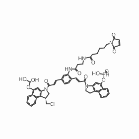 O=C(CCCCCN1C(=O)C=CC1=O)NCCC(=O)Nc1cc(/C=C/C(=O)N2C[C@@H](CCl)c3c2cc(OC(O)O)c2ccccc32)ccc1/C=C/C(=O)N1CCc2c1cc(O[PH](=O)O)c1ccccc21